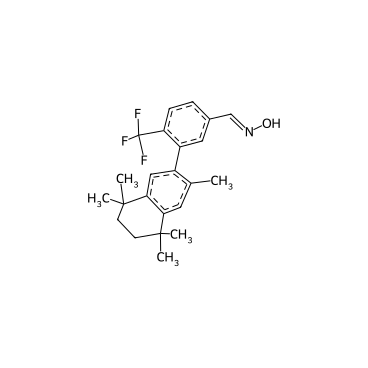 Cc1cc2c(cc1-c1cc(C=NO)ccc1C(F)(F)F)C(C)(C)CCC2(C)C